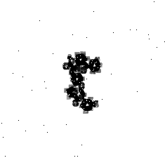 COC(=O)C(Cc1ccc(OCCN(C(=O)c2cccs2)c2cccc(F)c2)cc1)Nc1ccccc1C(=O)c1ccccc1